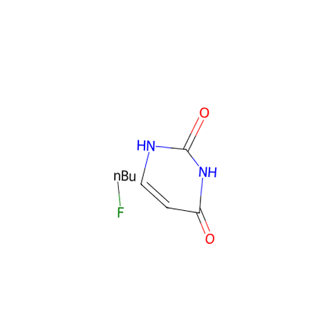 CCCCF.O=c1cc[nH]c(=O)[nH]1